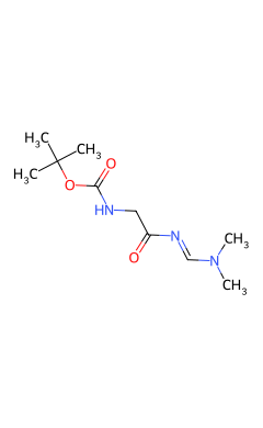 CN(C)/C=N/C(=O)CNC(=O)OC(C)(C)C